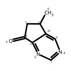 CC1CC(=O)c2ncncc21